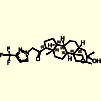 COC[C@]12CC[C@@](C)(O)C[C@@H]1CC[C@H]1[C@@H]3CC[C@H](C(=O)Cn4ccc(C(F)(F)F)n4)[C@@]3(C)CC[C@@H]12